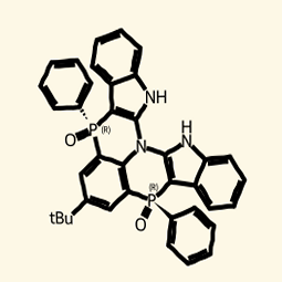 CC(C)(C)c1cc2c3c(c1)[P@](=O)(c1ccccc1)c1c([nH]c4ccccc14)N3c1[nH]c3ccccc3c1[P@@]2(=O)c1ccccc1